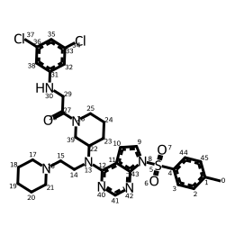 Cc1ccc(S(=O)(=O)n2ccc3c(N(CCN4CCCCC4)C4CCCN(C(=O)CNc5cc(Cl)cc(Cl)c5)C4)ncnc32)cc1